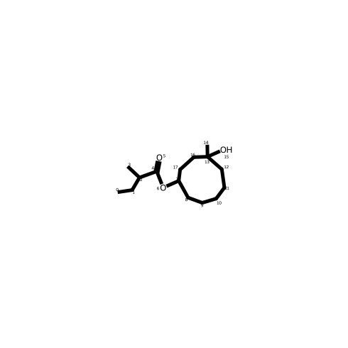 CCC(C)C(=O)OC1CCCCCC(C)(O)CC1